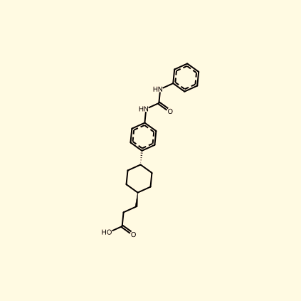 O=C(O)CC[C@H]1CC[C@H](c2ccc(NC(=O)Nc3ccccc3)cc2)CC1